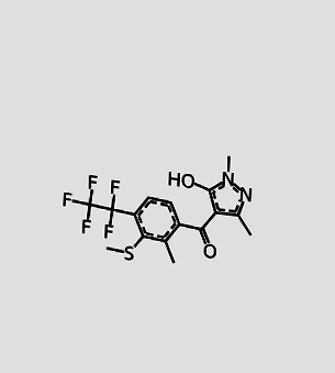 CSc1c(C(F)(F)C(F)(F)F)ccc(C(=O)c2c(C)nn(C)c2O)c1C